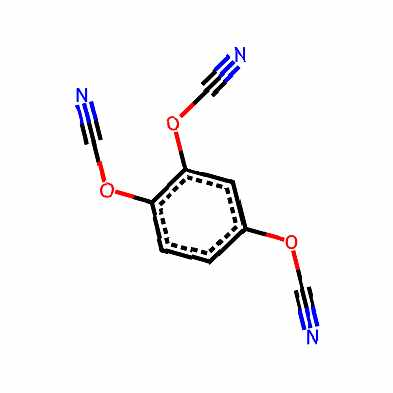 N#COc1ccc(OC#N)c(OC#N)c1